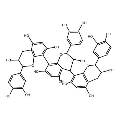 Oc1ccc(C2Oc3c(c(O)cc(O)c3-c3c(O)cc(O)c4c3OC(c3ccc(O)c(O)c3)C(O)C4c3c(O)cc(O)c4c3OC(c3ccc(O)c(O)c3)C(O)C4)CC2O)cc1O